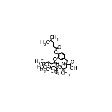 CC(C)CCC(=O)Oc1ccc(CC(N)(C[C@H](C)OC(=O)CC(C)(C)C)C(=O)O)cc1OC(=O)CCC(C)C